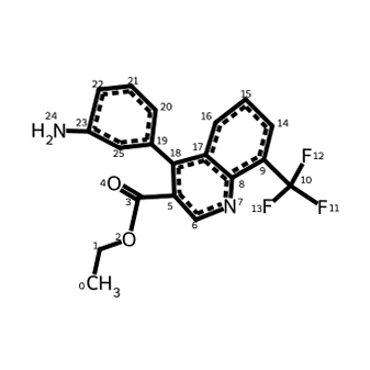 CCOC(=O)c1cnc2c(C(F)(F)F)cccc2c1-c1cccc(N)c1